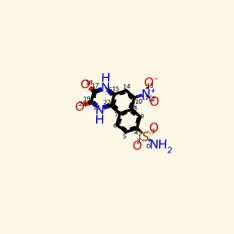 NS(=O)(=O)c1ccc2c(c1)c([N+](=O)[O-])cc1[nH]c(=O)c(=O)[nH]c12